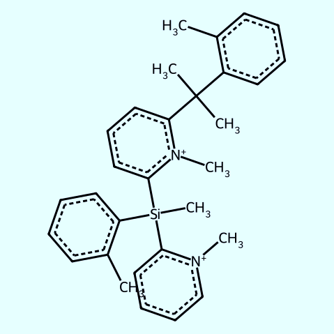 Cc1ccccc1C(C)(C)c1cccc([Si](C)(c2ccccc2C)c2cccc[n+]2C)[n+]1C